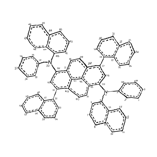 c1ccc(N(c2cccc3ccccc23)c2cc(-c3cccc4ccccc34)c3ccc4c(N(c5ccccc5)c5cccc6ccccc56)cc(-c5cccc6ccccc56)c5ccc2c3c54)cc1